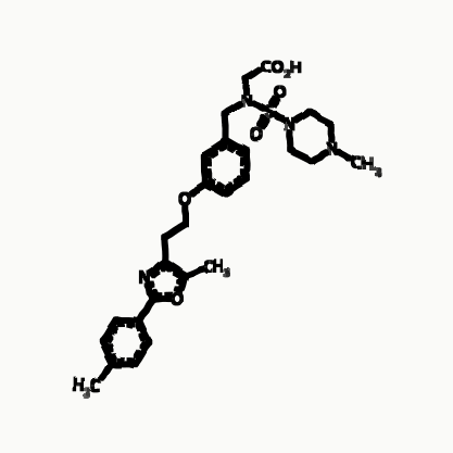 Cc1ccc(-c2nc(CCOc3cccc(CN(CC(=O)O)S(=O)(=O)N4CCN(C)CC4)c3)c(C)o2)cc1